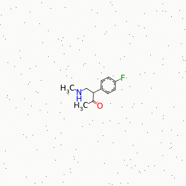 CNCC(C(C)=O)c1ccc(F)cc1